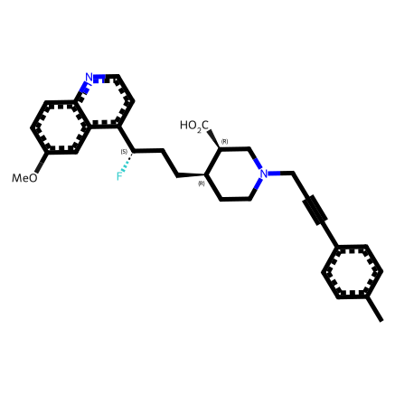 COc1ccc2nccc([C@@H](F)CC[C@@H]3CCN(CC#Cc4ccc(C)cc4)C[C@@H]3C(=O)O)c2c1